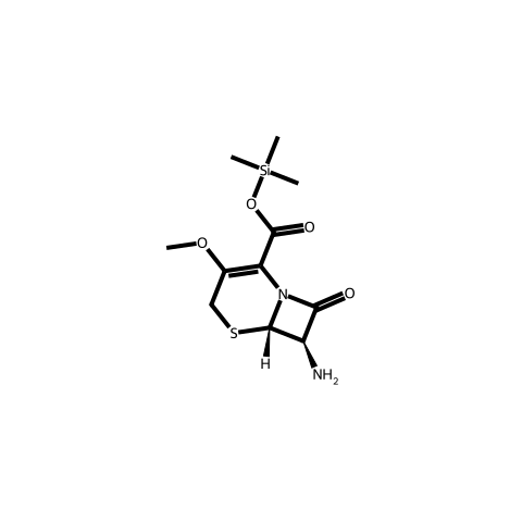 COC1=C(C(=O)O[Si](C)(C)C)N2C(=O)[C@@H](N)[C@@H]2SC1